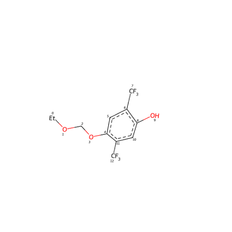 CCOCOc1cc(C(F)(F)F)c(O)cc1C(F)(F)F